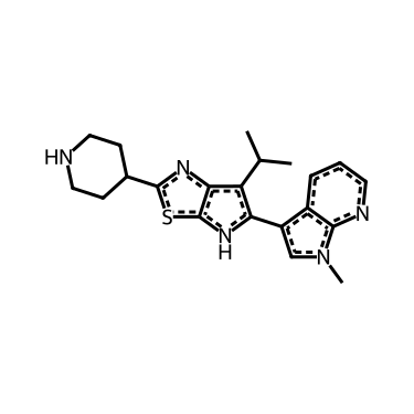 CC(C)c1c(-c2cn(C)c3ncccc23)[nH]c2sc(C3CCNCC3)nc12